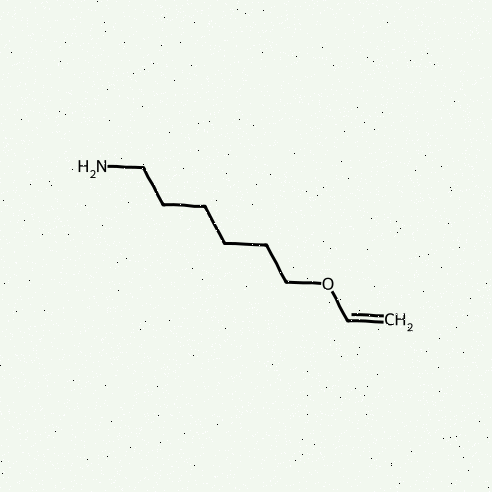 C=COCCCCCCN